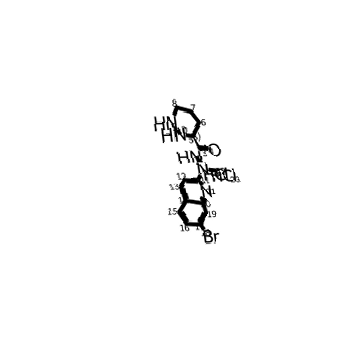 CN(NC(=O)[C@@H]1CCCNN1)c1ccc2ccc(Br)cc2n1.Cl.Cl